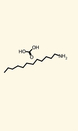 CCCCCCCCCCCCN.O=C(O)O